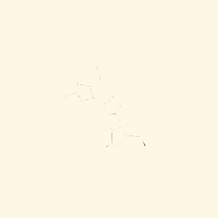 CCOC(=O)[C@H](C)NP(=O)(N[C@@H](C)C(=O)OCC)c1ccc(-c2nc(N)[nH]c2CC(C)C)o1